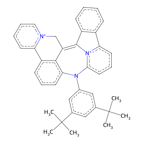 CC(C)(C)c1cc(N2c3cccc4c3C(=C3c5ccccc5-c5cccc2[n+]53)C[n+]2ccccc2-4)cc(C(C)(C)C)c1